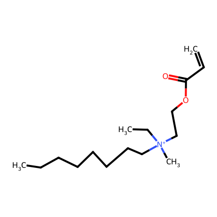 C=CC(=O)OCC[N+](C)(CC)CCCCCCCC